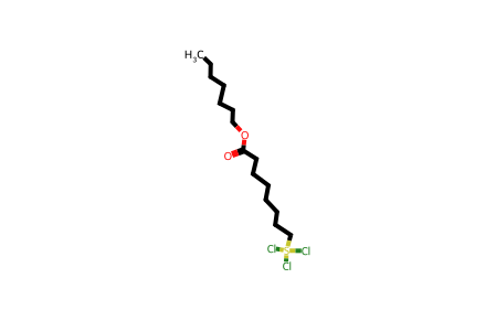 CCCCCCCOC(=O)CCCCCCCS(Cl)(Cl)Cl